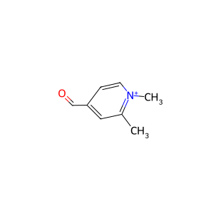 Cc1cc(C=O)cc[n+]1C